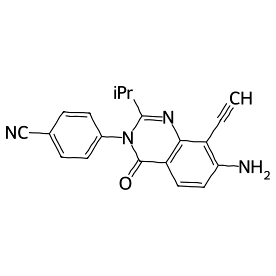 C#Cc1c(N)ccc2c(=O)n(-c3ccc(C#N)cc3)c(C(C)C)nc12